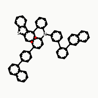 c1cc(-c2ccccc2-c2ccc3ccccc3c2)cc(N(c2ccc(-c3ccc(-c4cccc5ccccc45)cc3)cc2)c2ccccc2-c2cccc3sc4ccccc4c23)c1